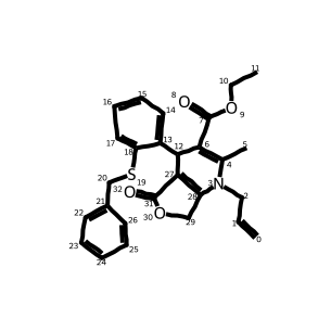 C=CCN1C(C)=C(C(=O)OCC)C(c2ccccc2SCc2ccccc2)C2=C1COC2=O